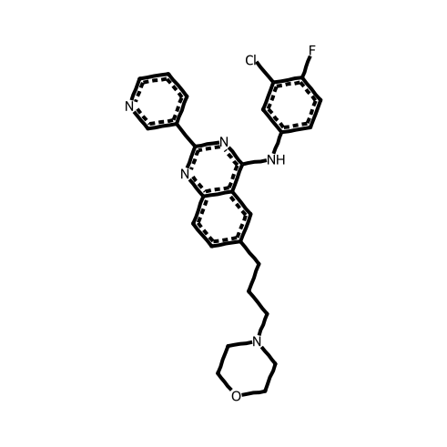 Fc1ccc(Nc2nc(-c3cccnc3)nc3ccc(CCCN4CCOCC4)cc23)cc1Cl